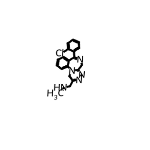 CNCC1=NN=C2CN=C(c3ccccc3Cl)c3ccccc3N2C1